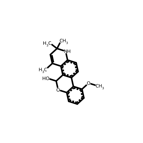 COc1cccc2c1-c1ccc3c(c1C(O)O2)C(C)=CC(C)(C)N3